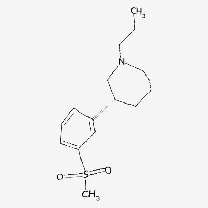 CCCN1CCC[C@H](c2cccc(S(C)(=O)=O)c2)C1